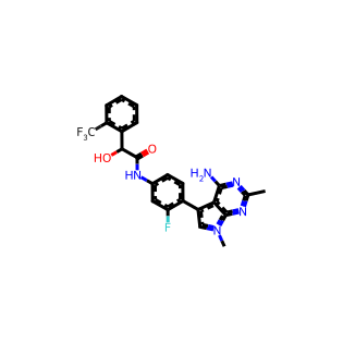 Cc1nc(N)c2c(-c3ccc(NC(=O)C(O)c4ccccc4C(F)(F)F)cc3F)cn(C)c2n1